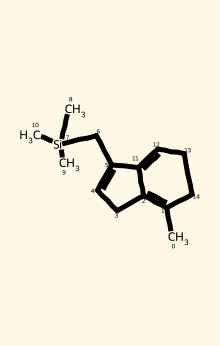 CC1=C2CC=C(C[Si](C)(C)C)C2=CCC1